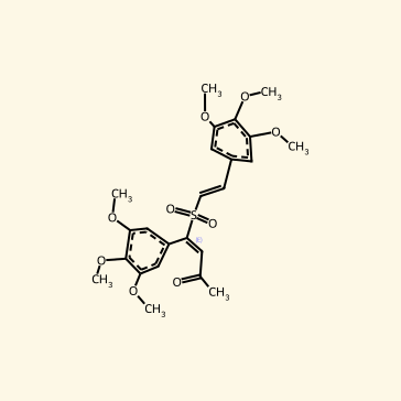 COc1cc(C=CS(=O)(=O)/C(=C/C(C)=O)c2cc(OC)c(OC)c(OC)c2)cc(OC)c1OC